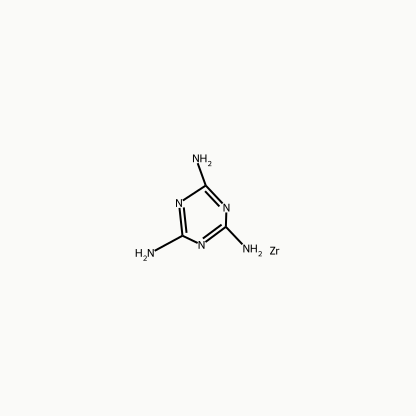 Nc1nc(N)nc(N)n1.[Zr]